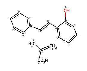 C=C(C)C(=O)O.Oc1ccccc1C=Cc1ccccc1